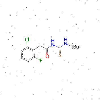 CC(C)(C)NC(=S)NC(=O)Cc1c(F)cccc1Cl